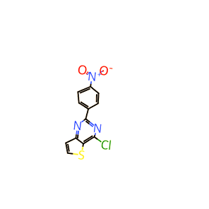 O=[N+]([O-])c1ccc(-c2nc(Cl)c3sccc3n2)cc1